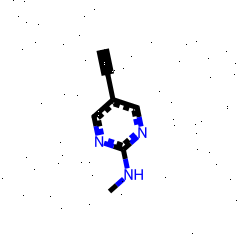 C#Cc1cnc(NC)nc1